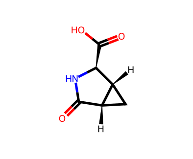 O=C1N[C@@H](C(=O)O)[C@@H]2C[C@H]12